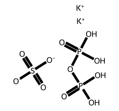 O=P(O)(O)OP(=O)(O)O.O=S(=O)([O-])[O-].[K+].[K+]